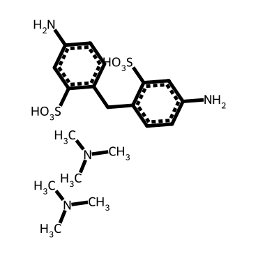 CN(C)C.CN(C)C.Nc1ccc(Cc2ccc(N)cc2S(=O)(=O)O)c(S(=O)(=O)O)c1